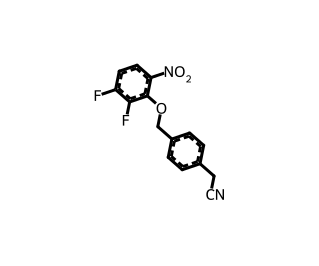 N#CCc1ccc(COc2c([N+](=O)[O-])ccc(F)c2F)cc1